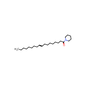 CCCCCCCCC=CCCCCCCCC(=O)N1CCCCC1